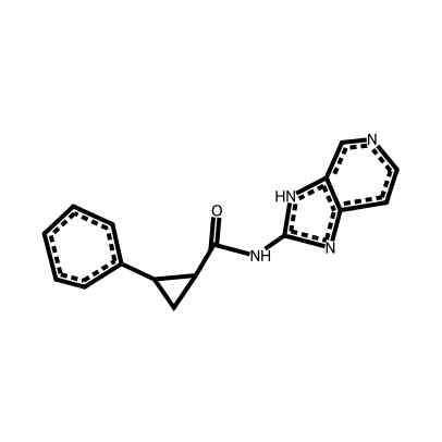 O=C(Nc1nc2ccncc2[nH]1)C1CC1c1ccccc1